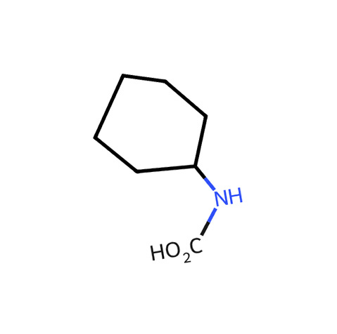 O=C(O)NC1CCCCC1